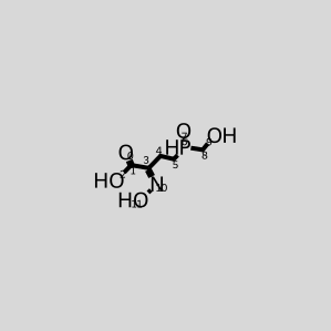 O=C(O)C(CC[PH](=O)CO)=NO